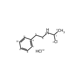 CC(Cl)NCCc1ccccc1.Cl